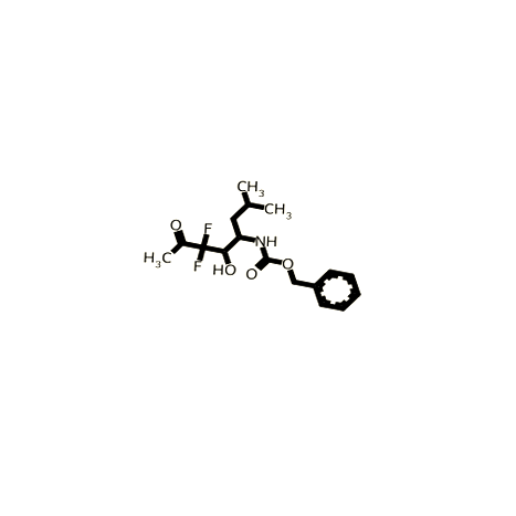 CC(=O)C(F)(F)C(O)C(CC(C)C)NC(=O)OCc1ccccc1